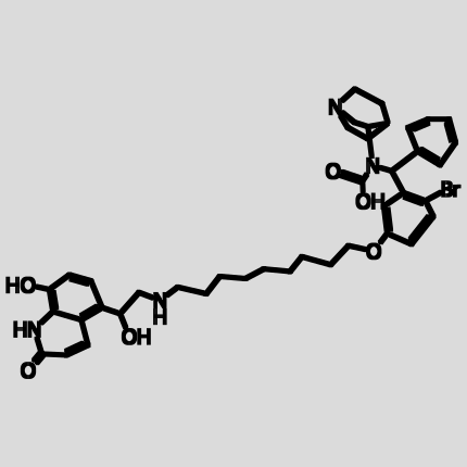 O=C(O)N(C(c1ccccc1)c1cc(OCCCCCCCCCNCC(O)c2ccc(O)c3[nH]c(=O)ccc23)ccc1Br)C1CN2CCC1CC2